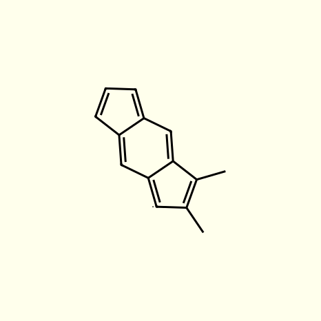 CC1=C(C)c2cc3c(cc2=[C]1)C=CC=3